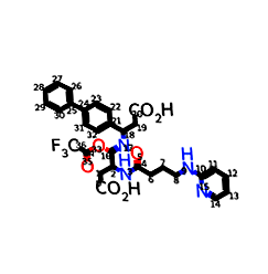 O=C(O)CC(NC(=O)CCCNc1ccccn1)C(=NC(CC(=O)O)c1ccc(-c2ccccc2)cc1)OC(=O)C(F)(F)F